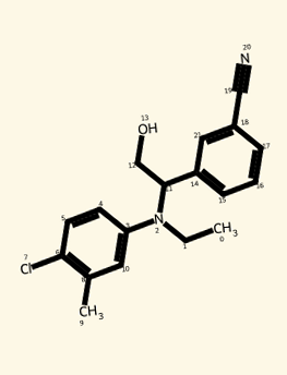 CCN(c1ccc(Cl)c(C)c1)C(CO)c1cccc(C#N)c1